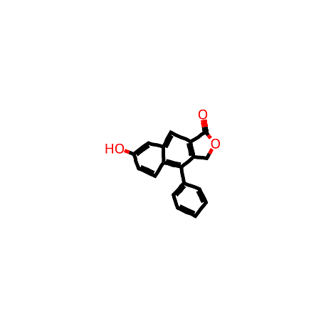 O=C1OCc2c1cc1cc(O)ccc1c2-c1ccccc1